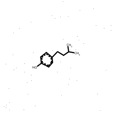 C[C](C)CCc1ccc(O)cc1